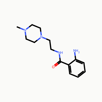 CN1CCN(CCNC(=O)c2ccccc2N)CC1